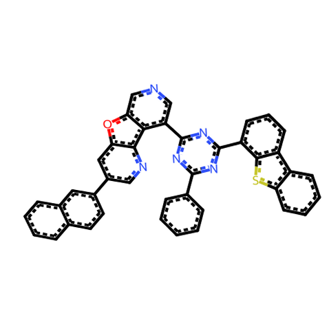 c1ccc(-c2nc(-c3cccc4c3sc3ccccc34)nc(-c3cncc4oc5cc(-c6ccc7ccccc7c6)cnc5c34)n2)cc1